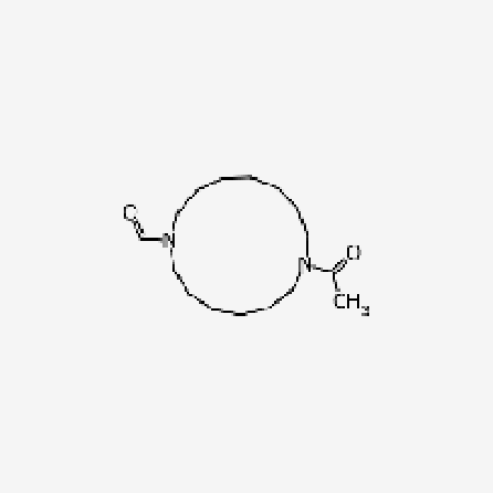 CC(=O)N1CCCCCCCN(C=O)CCCCCC1